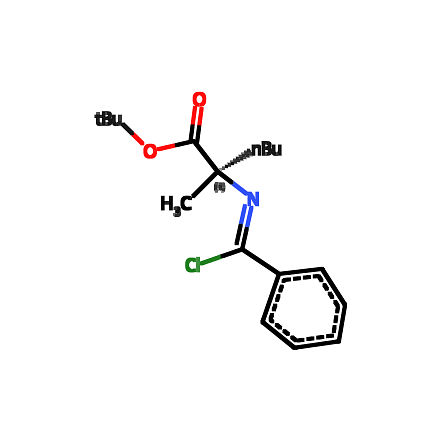 CCCC[C@@](C)(N=C(Cl)c1ccccc1)C(=O)OC(C)(C)C